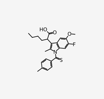 CCCCC(C(=O)O)c1c(C)n(C(=S)c2ccc(C)cc2)c2cc(F)c(OC)cc12